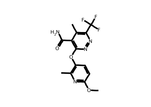 COc1ccc(Oc2nnc(C(F)(F)F)c(C)c2C(N)=O)c(C)n1